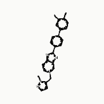 Cc1ccc(-c2ccc(-c3nc4ccn(Cc5ccnn5C)cc-4n3)cc2)cc1C